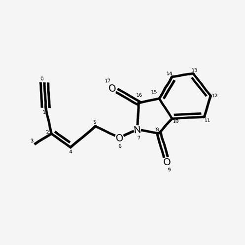 C#CC(C)=CCON1C(=O)c2ccccc2C1=O